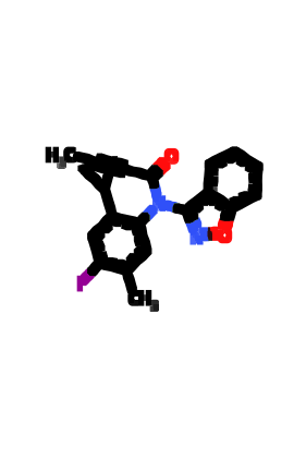 CC#CC(=O)N(c1cc(C)c(I)cc1C1CC1)c1noc2ccccc12